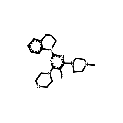 CN1CCN(c2nc(N3CCCc4ccccc43)nc(N3CCOCC3)c2F)CC1